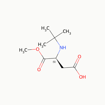 COC(=O)[C@H](CC(=O)O)NC(C)(C)C